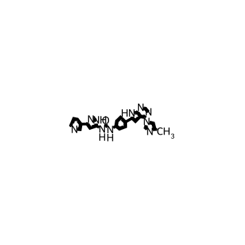 Cc1cn(-c2ncnc3[nH]c(-c4ccc(NC(=O)Nc5cc(-c6cccnc6)n[nH]5)cc4)cc23)cn1